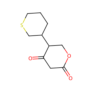 O=C1CC(=O)C(C2CCCSC2)CO1